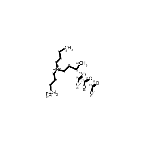 CCCC[NH+](CCCC)CCCC.O=C[O-].O=C[O-].O=C[O-].[Pd+2]